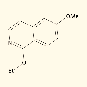 CCOc1nccc2cc(OC)ccc12